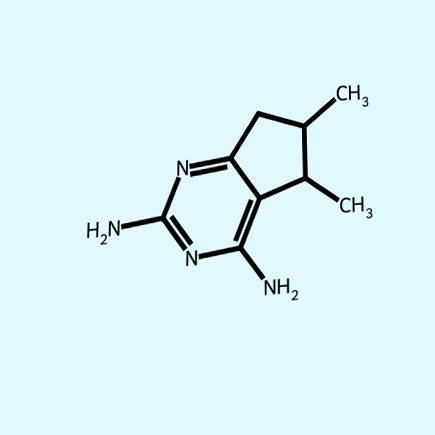 CC1Cc2nc(N)nc(N)c2C1C